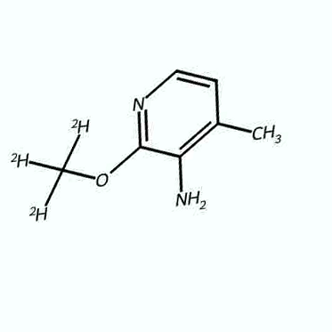 [2H]C([2H])([2H])Oc1nccc(C)c1N